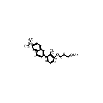 CCN(CC)c1ccc2cc(-c3cccc(OCCCOC)c3C#N)ccc2c1